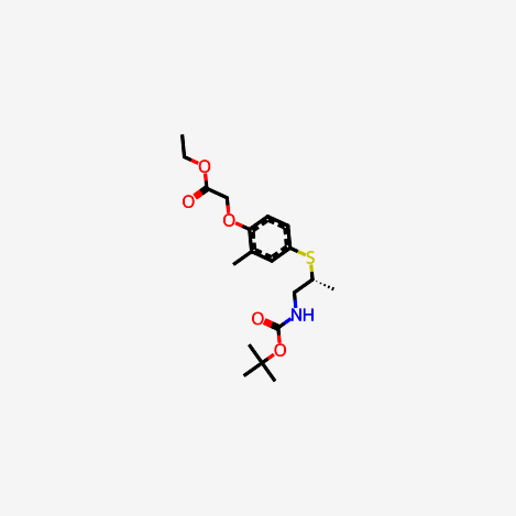 CCOC(=O)COc1ccc(S[C@H](C)CNC(=O)OC(C)(C)C)cc1C